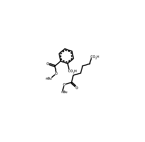 CCCCOC(=O)CCCCC(=O)O.CCCCOC(=O)c1ccccc1C(=O)O